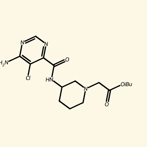 CC(C)COC(=O)CN1CCCC(NC(=O)c2ncnc(N)c2Cl)C1